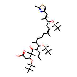 CCC[C@@H](C(=O)C(C)(C)C(CC(=O)O)O[Si](C)(C)C(C)(C)C)[C@@H](O[Si](C)(C)C(C)(C)C)C(C)CCCC(C)=CC[C@H](O[Si](C)(C)C(C)(C)C)/C(C)=C/c1csc(C)n1